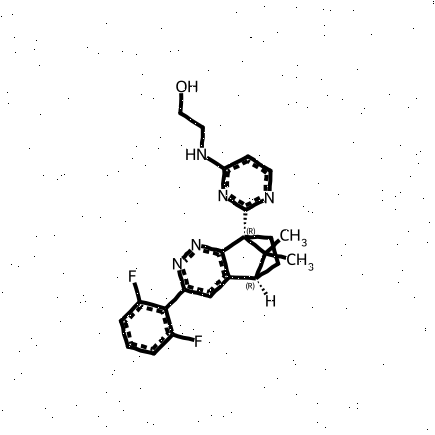 CC1(C)[C@H]2CC[C@]1(c1nccc(NCCO)n1)c1nnc(-c3c(F)cccc3F)cc12